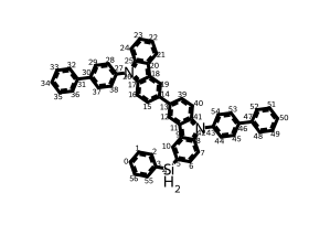 c1ccc([SiH2]c2ccc3c(c2)c2cc(-c4ccc5c(c4)c4ccccc4n5-c4ccc(-c5ccccc5)cc4)ccc2n3-c2ccc(-c3ccccc3)cc2)cc1